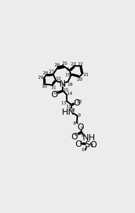 CS(=O)(=O)NC(=O)OCCNC(=O)CCC(=O)N1Cc2ccccc2C#Cc2ccccc21